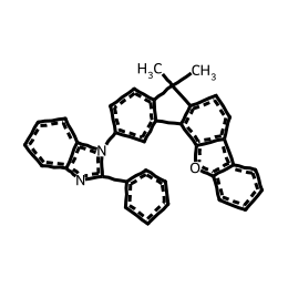 CC1(C)c2ccc(-n3c(-c4ccccc4)nc4ccccc43)cc2-c2c1ccc1c2oc2ccccc21